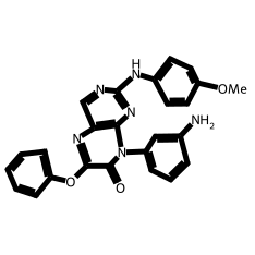 COc1ccc(Nc2ncc3nc(Oc4ccccc4)c(=O)n(-c4cccc(N)c4)c3n2)cc1